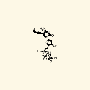 Nc1nc(=O)n([C@H]2CC(O)[C@@H](COP(=O)(O)OP(=O)(O)OP(=O)(O)O)O2)cc1C#CCS